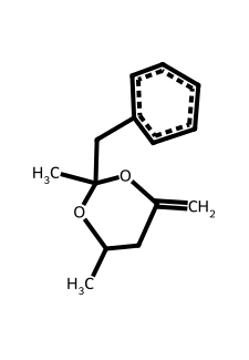 C=C1CC(C)OC(C)(Cc2ccccc2)O1